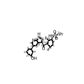 CCCS(=O)(=O)Nc1ccc(F)c(C(=O)c2n[nH]c3ncc(-c4cccc(O)c4)cc23)c1F